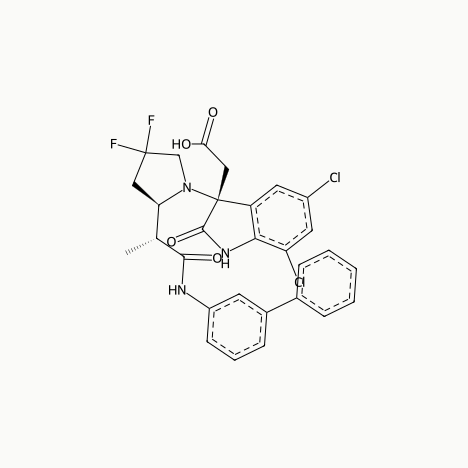 C[C@@H](C(=O)Nc1cccc(-c2ccccc2)c1)[C@H]1CC(F)(F)CN1[C@@]1(CC(=O)O)C(=O)Nc2c(Cl)cc(Cl)cc21